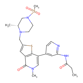 CCC(=O)Nc1cc(-c2cn(C)c(=O)c3cc(CN4CCN(S(C)(=O)=O)C[C@H]4C)sc23)ccn1